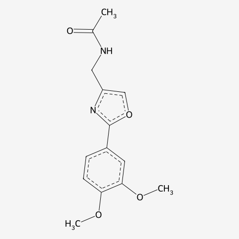 COc1ccc(-c2nc(CNC(C)=O)co2)cc1OC